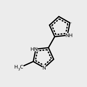 Cc1ncc(-c2cc[c][nH]2)[nH]1